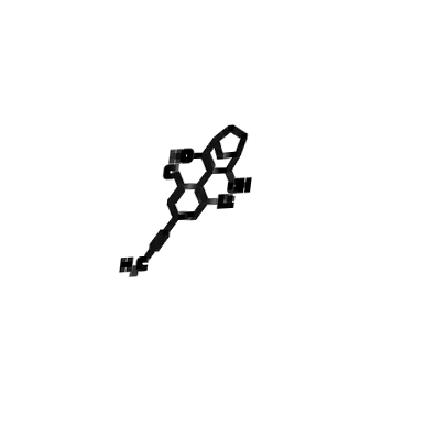 CC#Cc1cc(Cl)c(C2=C(O)C3CCC(C3)C2O)c(CC)c1